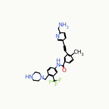 Cc1ccc(C(=O)Nc2ccc(CN3CCNCC3)c(C(F)(F)F)c2)cc1C#Cc1ccc(CN)nc1